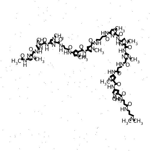 CC(=O)Nc1cn(C)c(C(=O)Nc2cn(C)c(C(=O)Nc3cn(C)c(C(=O)NCCC(=O)Nc4cc(C(=O)Nc5cc(C(=O)NCCCC(=O)Nc6cn(C)c(C(=O)Nc7cn(C)c(C(=O)Nc8cn(C)c(C(=O)NCCC(=O)Nc9cc(C(=O)Nc%10cc(C(=O)NCCC(=O)NCCCN(C)C)n(C)c%10)n(C)c9)n8)n7)n6)n(C)c5)n(C)c4)n3)n2)n1